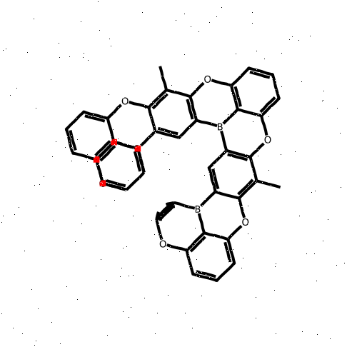 Cc1c2c(cc3c1Oc1cccc4c1B3c1cc3c(c(C)c1O4)Oc1cccc4c1B3c1ccccc1O4)B1c3ccccc3Oc3cccc(c31)O2